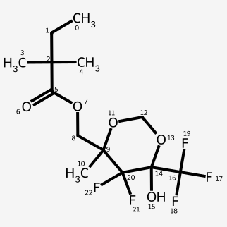 CCC(C)(C)C(=O)OCC1(C)OCOC(O)(C(F)(F)F)C1(F)F